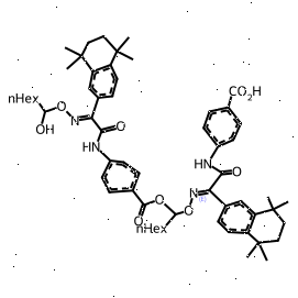 CCCCCCC(O)ON=C(C(=O)Nc1ccc(C(=O)OC(CCCCCC)O/N=C(/C(=O)Nc2ccc(C(=O)O)cc2)c2ccc3c(c2)C(C)(C)CCC3(C)C)cc1)c1ccc2c(c1)C(C)(C)CCC2(C)C